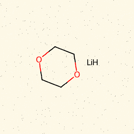 C1COCCO1.[LiH]